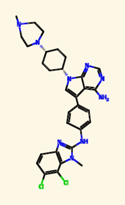 CN1CCN([C@H]2CC[C@@H](n3cc(-c4ccc(Nc5nc6ccc(Cl)c(Cl)c6n5C)cc4)c4c(N)ncnc43)CC2)CC1